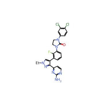 CCn1cc(-c2cccc(N3CCN(c4ccc(Cl)c(Cl)c4)C3=O)c2F)c(-c2ccnc(N)n2)n1